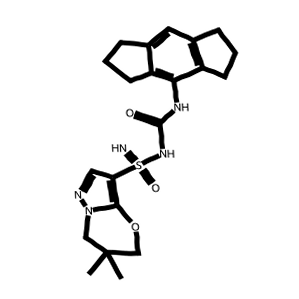 CC1(C)COc2c(S(=N)(=O)NC(=O)Nc3c4c(cc5c3CCC5)CCC4)cnn2C1